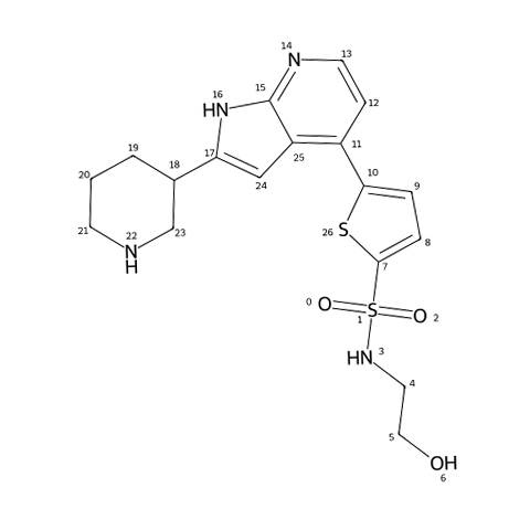 O=S(=O)(NCCO)c1ccc(-c2ccnc3[nH]c(C4CCCNC4)cc23)s1